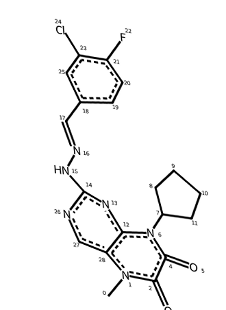 Cn1c(=O)c(=O)n(C2CCCC2)c2nc(NN=Cc3ccc(F)c(Cl)c3)ncc21